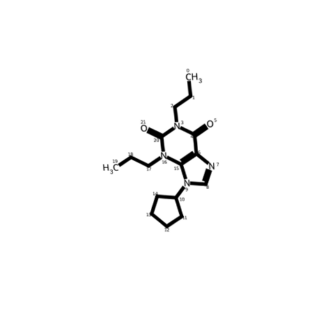 CCCn1c(=O)c2ncn(C3CCCC3)c2n(CCC)c1=O